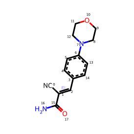 N#C/C(=C\c1ccc(N2CCOCC2)cc1)C(N)=O